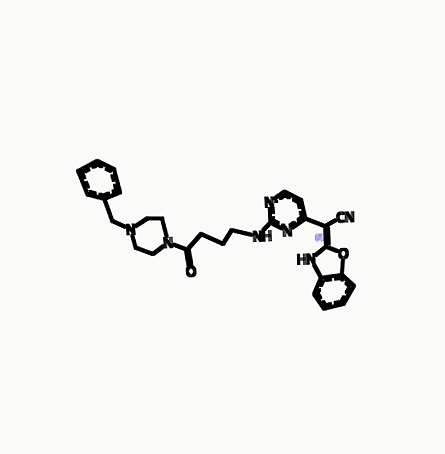 N#C/C(=C1/Nc2ccccc2O1)c1ccnc(NCCCC(=O)N2CCN(Cc3ccccc3)CC2)n1